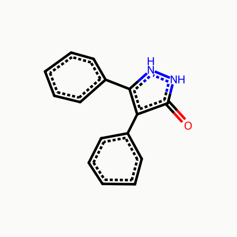 O=c1[nH][nH]c(-c2ccccc2)c1-c1ccccc1